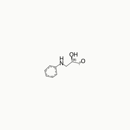 O=[C][C@H](O)CNc1ccccc1